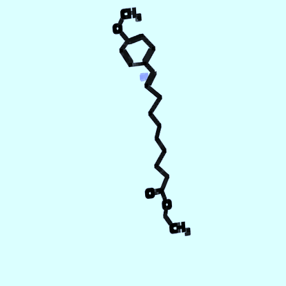 CCOC(=O)CCCCCCC/C=C/c1ccc(OC)cc1